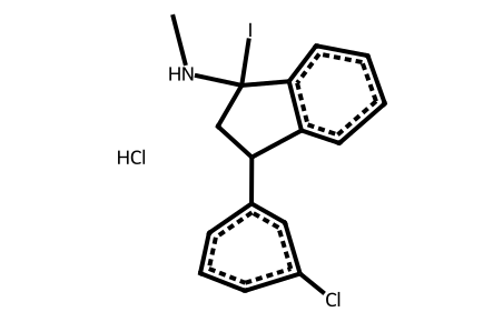 CNC1(I)CC(c2cccc(Cl)c2)c2ccccc21.Cl